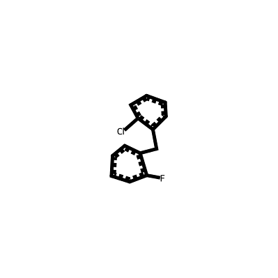 Fc1ccccc1Cc1ccccc1Cl